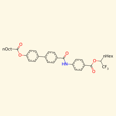 CCCCCCCCC(=O)Oc1ccc(-c2ccc(C(=O)Nc3ccc(C(=O)OC(CCCCCC)C(F)(F)F)cc3)cc2)cc1